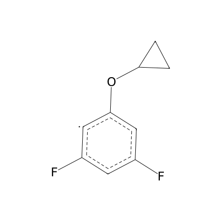 Fc1[c]c(OC2CC2)cc(F)c1